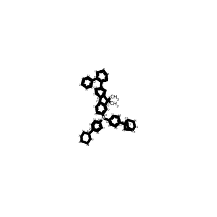 CC1(C)c2cc(-c3ccccc3-c3ccccc3)ccc2-c2ccc(N(c3ccc(C4CCCCC4)cc3)c3ccc(C4CC5CCC4CC5)cc3)cc21